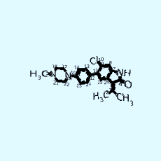 CC(C)=C1C(=O)Nc2cc(Cl)c(-c3ccc(N4CCN(C)CC4)cc3)cc21